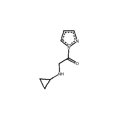 O=C(CNC1CC1)n1cccn1